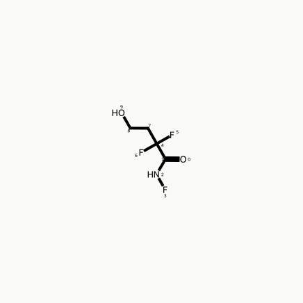 O=C(NF)C(F)(F)CCO